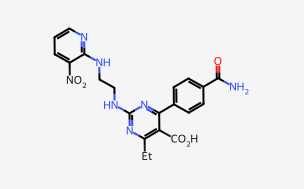 CCc1nc(NCCNc2ncccc2[N+](=O)[O-])nc(-c2ccc(C(N)=O)cc2)c1C(=O)O